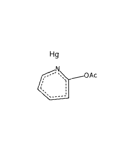 CC(=O)Oc1ccccn1.[Hg]